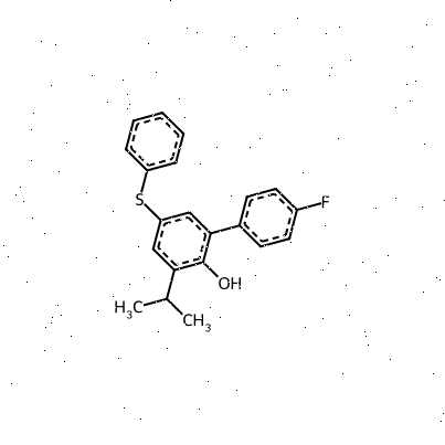 CC(C)c1cc(Sc2ccccc2)cc(-c2ccc(F)cc2)c1O